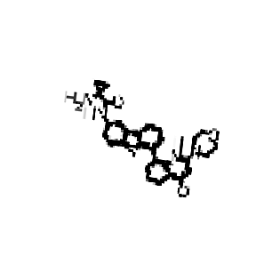 NC1(C(=O)Nc2ccc3sc4c(-c5cccc6c(=O)cc(N7CCOCC7)[nH]c56)cccc4c3c2)CC1